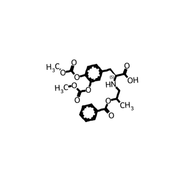 COC(=O)Oc1ccc(C[C@H](NCC(C)OC(=O)c2ccccc2)C(=O)O)cc1OC(=O)OC